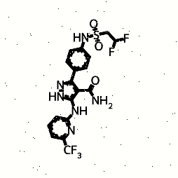 NC(=O)c1c(-c2ccc(NS(=O)(=O)CC(F)F)cc2)n[nH]c1Nc1cccc(C(F)(F)F)n1